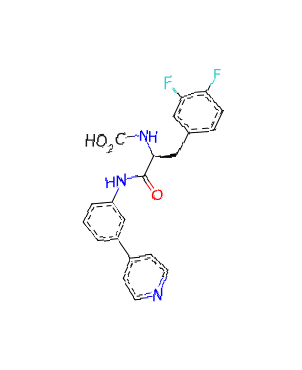 O=C(O)N[C@@H](Cc1ccc(F)c(F)c1)C(=O)Nc1cccc(-c2ccncc2)c1